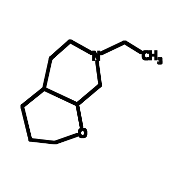 CCN1CCC2CCCOC2C1